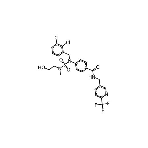 CN(CCO)S(=O)(=O)N(Cc1cccc(Cl)c1Cl)c1ccc(C(=O)NCc2ccc(C(F)(F)F)nc2)cc1